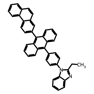 CCc1nc2ccccc2n1-c1ccc(-c2c3ccccc3c(-c3ccc4c(ccc5ccccc54)c3)c3ccccc23)cc1